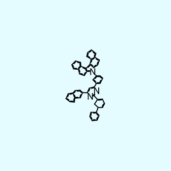 C1=CC(c2ccccc2)CC(c2nc(-c3cccc(-n4c5ccc6ccccc6c5c5c6ccccc6ccc54)c3)cc(-c3ccc4ccccc4c3)n2)=C1